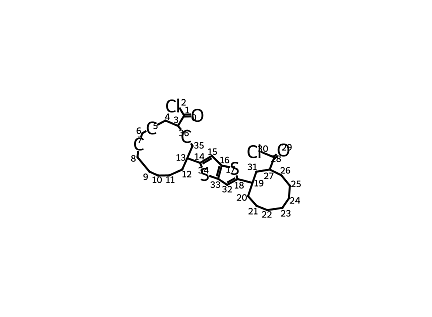 O=C(Cl)C1CCCCCCCCCC(c2cc3sc(C4CCCCCCCC(C(=O)Cl)C4)cc3s2)CC1